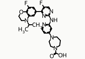 CC(C)N1CCOc2c(F)cc(-c3nc(Nc4cc(N5CCCN(C(=O)O)CC5)ccn4)ncc3F)cc21